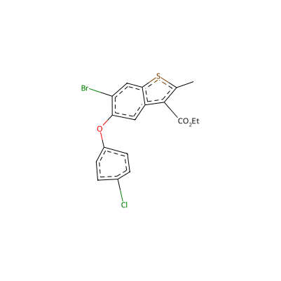 CCOC(=O)c1c(C)sc2cc(Br)c(Oc3ccc(Cl)cc3)cc12